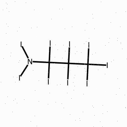 IN(I)C(I)(I)C(I)(I)C(I)(I)I